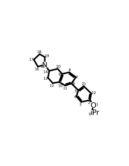 CC(C)Oc1ccc(-c2ccc3c(c2)CCC(N2CCCC2)C3)cc1